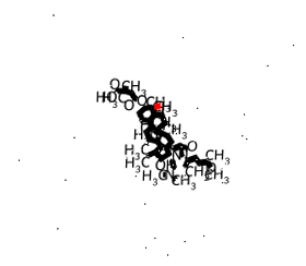 C=C/C(=C\C=C(/C)OC)n1c(=O)cc([C@@]23CC[C@]4(C)C(CC[C@H]5C4(C)CC[C@H]4C(C)(C)[C@@H](OC(=O)CC(C)(C)C(=O)O)CC[C@@]45C)C2=C(C(C)C)[C@@H](O)C3)n1CCN(C)C